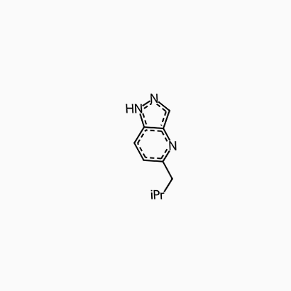 CC(C)Cc1ccc2[nH]ncc2n1